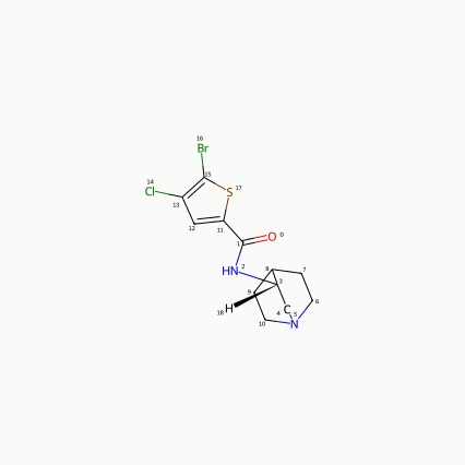 O=C(N[C@H]1CN2CCC1CC2)c1cc(Cl)c(Br)s1